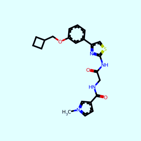 Cn1ccc(C(=O)NCC(=O)Nc2nc(-c3cccc(OCC4CCC4)c3)cs2)c1